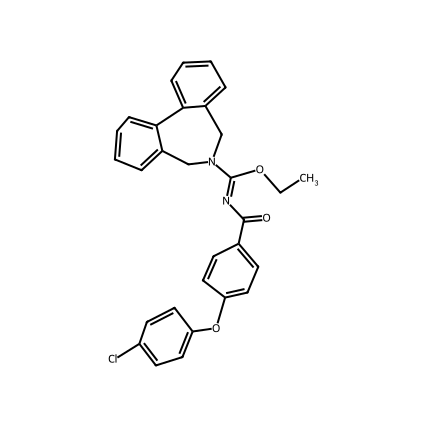 CCOC(=NC(=O)c1ccc(Oc2ccc(Cl)cc2)cc1)N1Cc2ccccc2-c2ccccc2C1